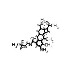 C=C(C)C1=CC2=C3C(=C)c4c(C)c(N)cc(/C(C)=N/CCC(C)(F)F)c4CC3CC(CC)C12